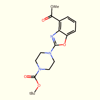 COC(=O)c1cccc2oc(N3CCN(C(=O)OC(C)(C)C)CC3)nc12